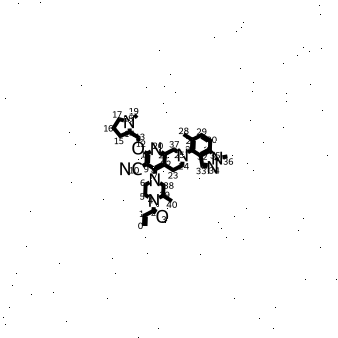 C=CC(=O)N1CCN(c2c(C#N)c(OCC3CCCN3C)nc3c2CCN(c2c(C)ccc4c2cnn4C)C3)CC1C